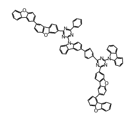 c1ccc(-c2nc(-c3ccc4c(c3)oc3ccc(-c5ccc6oc7ccccc7c6c5)cc34)nc(-n3c4ccccc4c4cc(-c5ccc(-c6nc(-c7ccc8c(c7)oc7ccc(-c9cccc%10oc%11ccccc%11c9%10)cc78)nc(-n7c8ccccc8c8ccccc87)n6)cc5)ccc43)n2)cc1